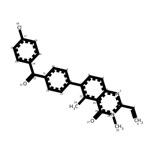 C=Cc1nc2ccc(-c3ccc(C(=O)c4ccc(Cl)cc4)cc3)c(C)c2c(=O)n1C